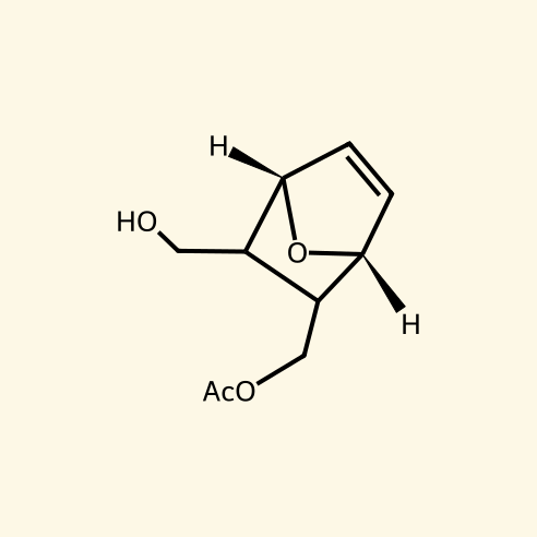 CC(=O)OCC1C(CO)[C@@H]2C=C[C@H]1O2